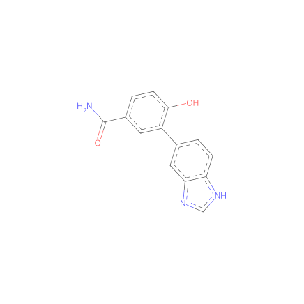 NC(=O)c1ccc(O)c(-c2ccc3[nH]cnc3c2)c1